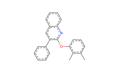 Cc1cccc(Oc2nc3ccccc3cc2-c2ccccc2)c1C